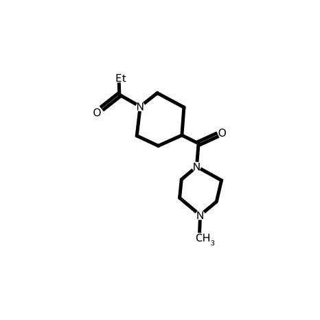 CCC(=O)N1CCC(C(=O)N2CCN(C)CC2)CC1